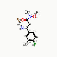 CCON(CC)C(=O)CC(N=C=S)c1ccc(F)c(CC)c1